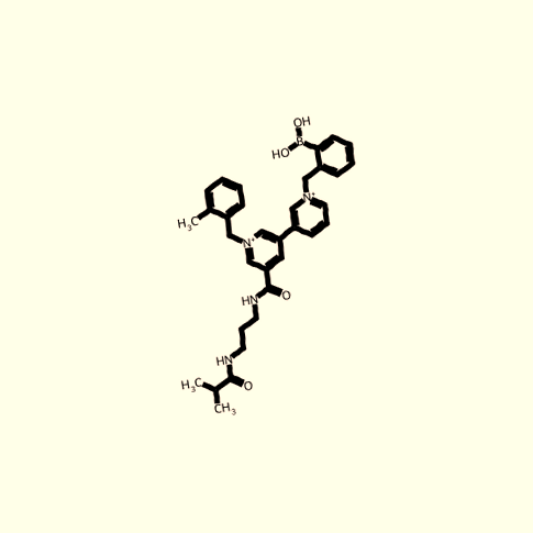 Cc1ccccc1C[n+]1cc(C(=O)NCCCNC(=O)C(C)C)cc(-c2ccc[n+](Cc3ccccc3B(O)O)c2)c1